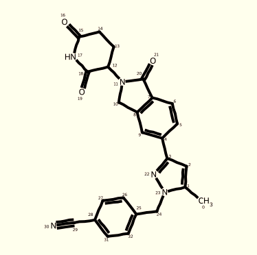 Cc1cc(-c2ccc3c(c2)CN(C2CCC(=O)NC2=O)C3=O)nn1Cc1ccc(C#N)cc1